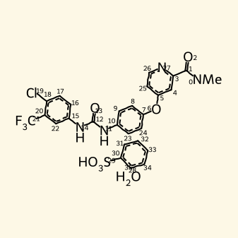 CNC(=O)c1cc(Oc2ccc(NC(=O)Nc3ccc(Cl)c(C(F)(F)F)c3)cc2)ccn1.O.O=S(=O)(O)c1ccccc1